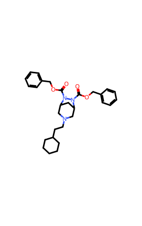 O=C(OCc1ccccc1)N1C2CC(CN(CCC3CCCCC3)C2)N1C(=O)OCc1ccccc1